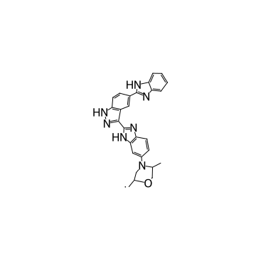 [CH2]C1CN(c2ccc3nc(-c4n[nH]c5ccc(-c6nc7ccccc7[nH]6)cc45)[nH]c3c2)C(C)CO1